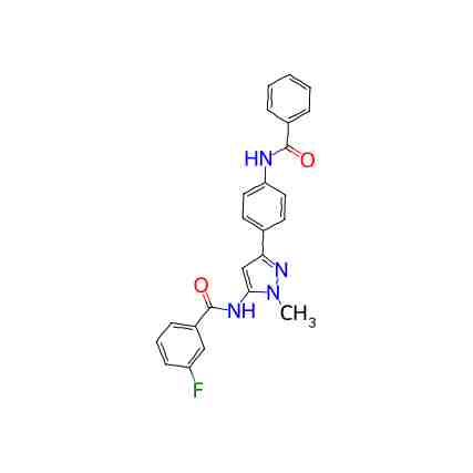 Cn1nc(-c2ccc(NC(=O)c3ccccc3)cc2)cc1NC(=O)c1cccc(F)c1